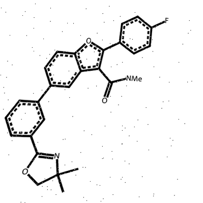 CNC(=O)c1c(-c2ccc(F)cc2)oc2ccc(-c3cccc(C4=NC(C)(C)CO4)c3)cc12